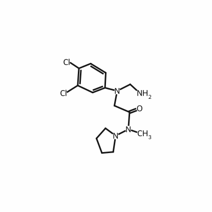 CN(C(=O)CN(CN)c1ccc(Cl)c(Cl)c1)N1CCCC1